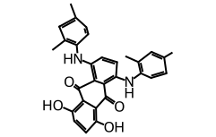 Cc1ccc(Nc2ccc(Nc3ccc(C)cc3C)c3c2C(=O)c2c(O)ccc(O)c2C3=O)c(C)c1